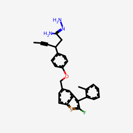 CC#CC(C/C(N)=N/N)c1ccc(OCc2ccc3sc(F)c(-c4ccccc4C)c3c2)cc1